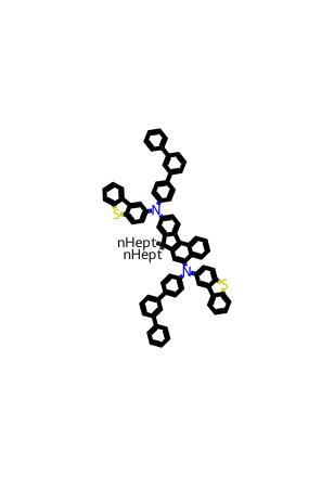 CCCCCCCC1(CCCCCCC)c2cc(N(c3ccc(-c4cccc(-c5ccccc5)c4)cc3)c3ccc4sc5ccccc5c4c3)ccc2-c2c1cc(N(c1ccc(-c3cccc(-c4ccccc4)c3)cc1)c1ccc3sc4ccccc4c3c1)c1ccccc21